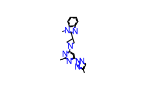 Cc1cnn(-c2cc(N3CC(c4nc5ccccc5n4C)C3)nc(C)n2)n1